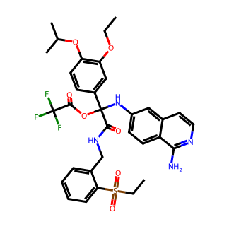 CCOc1cc(C(Nc2ccc3c(N)nccc3c2)(OC(=O)C(F)(F)F)C(=O)NCc2ccccc2S(=O)(=O)CC)ccc1OC(C)C